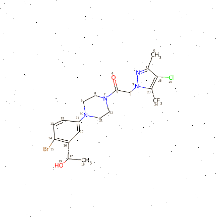 Cc1nn(CC(=O)N2CCN(c3ccc(Br)c(C(C)O)c3)CC2)c(C(F)(F)F)c1Cl